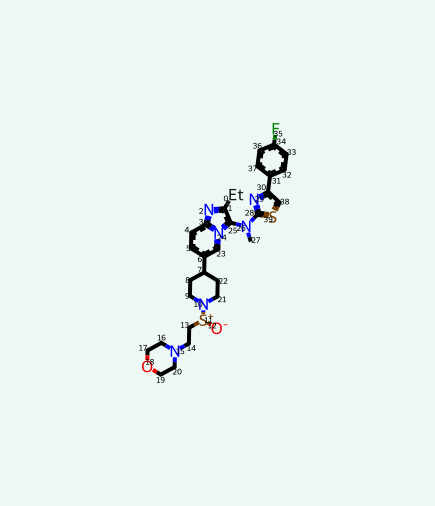 CCc1nc2ccc(C3CCN([S+]([O-])CCN4CCOCC4)CC3)cn2c1N(C)c1nc(-c2ccc(F)cc2)cs1